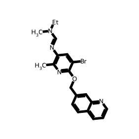 CCN(C)/C=N/c1cc(Br)c(OCc2ccc3cccnc3c2)nc1C